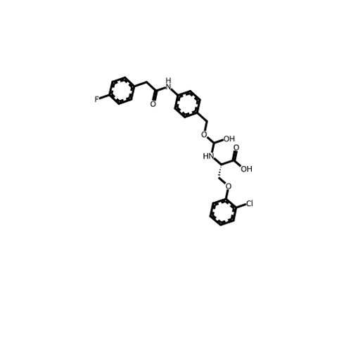 O=C(Cc1ccc(F)cc1)Nc1ccc(COC(O)N[C@@H](COc2ccccc2Cl)C(=O)O)cc1